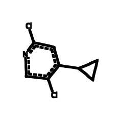 Clc1cc(C2CC2)c(Cl)cn1